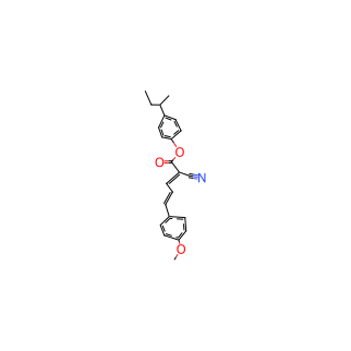 CCC(C)c1ccc(OC(=O)/C(C#N)=C/C=C/c2ccc(OC)cc2)cc1